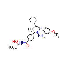 C=C(/C=C(/c1ccc(OC(F)(F)F)cc1)N(N)Cc1ccc(C(=O)NCC(O)C(=O)O)cc1)C1CCCCC1